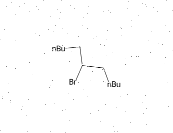 CCCCCC(Br)CCCCC